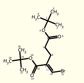 CC(C)(C)OC(=O)CC/C(=C\Br)C(=O)OC(C)(C)C